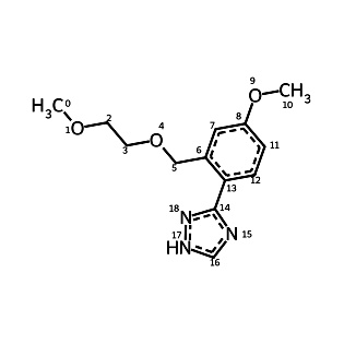 COCCOCc1cc(OC)ccc1-c1nc[nH]n1